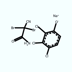 N#CC(Br)(Br)C(N)=O.[Na+].[O-]c1ccc(Cl)c(Cl)c1Cl